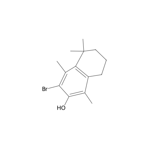 Cc1c(O)c(Br)c(C)c2c1CCCC2(C)C